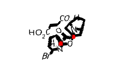 NC(=O)CN1C2CCC1CC(Oc1cccc(Br)n1)C2.O=C(O)/C=C/C(=O)O